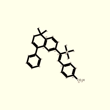 CC1(C)CC=C(c2ccccc2)c2cc(C(=Cc3ccc(C(=O)O)cc3)[Si](C)(C)C)ccc21